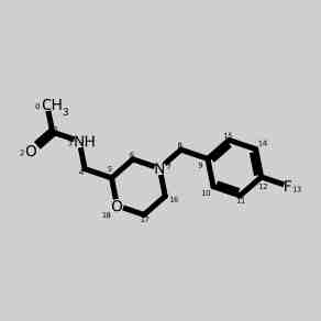 CC(=O)NCC1CN(Cc2ccc(F)cc2)CCO1